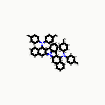 Cc1ccc(N(c2ccc(C)cc2)c2c3ccccc3cc3c2c2cccc4c5c(N(c6ccc(C)cc6)c6ccc(C)cc6)c6ccccc6cc5n3c24)cc1